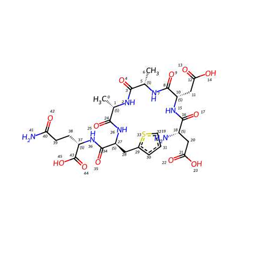 C[C@H](NC(=O)[C@H](C)NC(=O)[C@H](CC(=O)O)NC(=O)[C@@H](N)CC(=O)O)C(=O)N[C@@H](Cc1cccs1)C(=O)N[C@@H](CCC(N)=O)C(=O)O